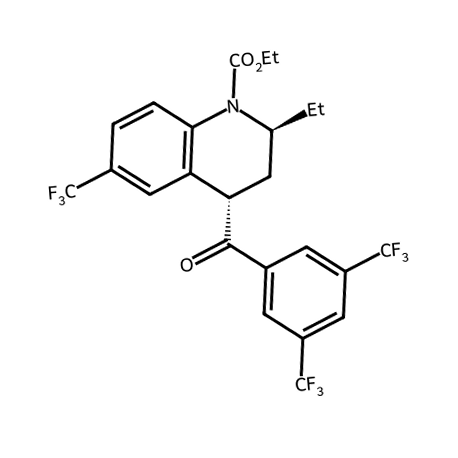 CCOC(=O)N1c2ccc(C(F)(F)F)cc2[C@@H](C(=O)c2cc(C(F)(F)F)cc(C(F)(F)F)c2)C[C@@H]1CC